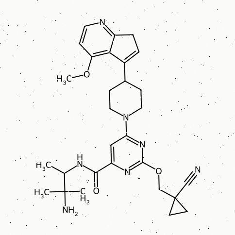 COc1ccnc2c1C(C1CCN(c3cc(C(=O)NC(C)C(C)(C)N)nc(OCC4(C#N)CC4)n3)CC1)=CC2